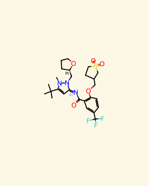 Cn1c(C(C)(C)C)c/c(=N\C(=O)c2cc(C(F)(F)F)ccc2OCC2CCS(=O)(=O)C2)n1C[C@H]1CCCO1